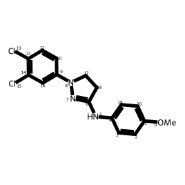 COc1ccc(NC2=NN(c3ccc(Cl)c(Cl)c3)CC2)cc1